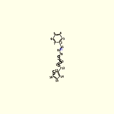 C(=C\c1ccccc1)/CSSSCc1cccs1